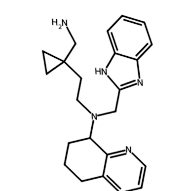 NCC1(CCN(Cc2nc3ccccc3[nH]2)C2CCCc3cccnc32)CC1